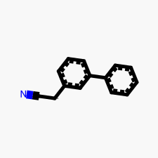 N#C[CH]c1cccc(-c2ccccc2)c1